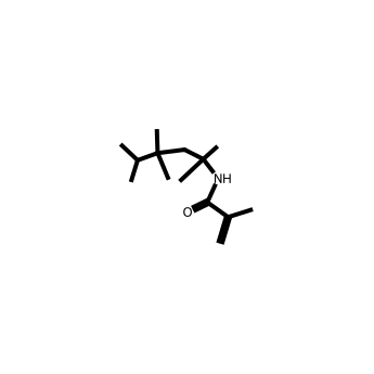 C=C(C)C(=O)NC(C)(C)CC(C)(C)C(C)C